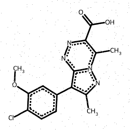 COc1cc(-c2c(C)nn3c(C)c(C(=O)O)nnc23)ccc1Cl